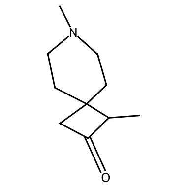 CC1C(=O)CC12CCN(C)CC2